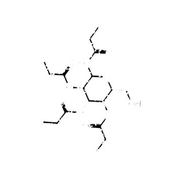 CCC(=O)OC1O[C@H](CO)[C@@H](OC(=O)CC)[C@H](OC(=O)CC)[C@H]1OC(=O)CC